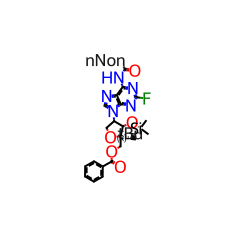 C#C[C@]1(COC(=O)c2ccccc2)OCC(n2cnc3c(NC(=O)CCCCCCCCC)nc(F)nc32)C1O[Si](C)(C)C(C)(C)C